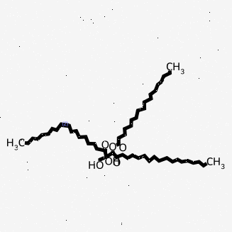 CCCCCCCC/C=C\CCCCCCCC(=O)C(O)(CO)C(OC(=O)CCCCCCCCCCCCCCCCC)C(=O)CCCCCCCCCCCCCCCCC